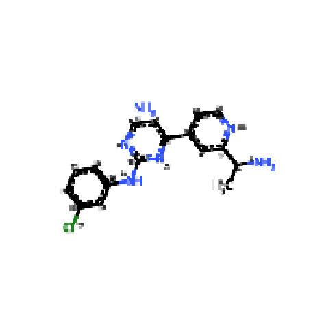 CC(N)c1cc(-c2ccnc(Nc3cccc(Cl)c3)n2)ccn1.N